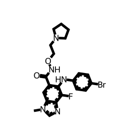 Cn1cnc2c(F)c(Nc3ccc(Br)cc3)c(C(=O)NOCCN3CCCC3)cc21